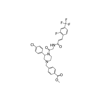 COC(=O)c1ccc(CN2CCN(C(=O)CNC(=O)/C=C/c3ccc(C(F)(F)F)cc3F)C(c3ccc(Cl)cc3)C2)cc1